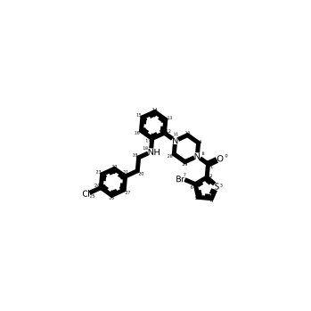 O=C(c1sccc1Br)N1CCN(c2ccccc2NCCc2ccc(Cl)cc2)CC1